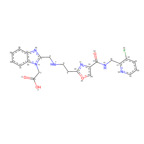 O=C(O)Cn1c(CNCCc2nc(C(=O)NCc3ncccc3F)co2)nc2ccccc21